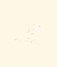 CCN1C(=O)CC(C)(C)c2cc(C)c(C3=C[C@@H](C4C[C@@H]4C(=O)O)CC=C3OC(F)(F)F)cc21